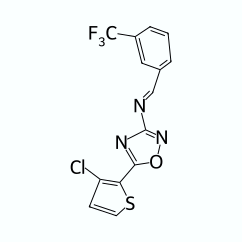 FC(F)(F)c1cccc(C=Nc2noc(-c3sccc3Cl)n2)c1